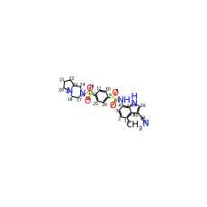 Cc1ccc(NS(=O)(=O)c2ccc(S(=O)(=O)N3CCN4CCCC4C3)cc2)c2[nH]cc(C#N)c12